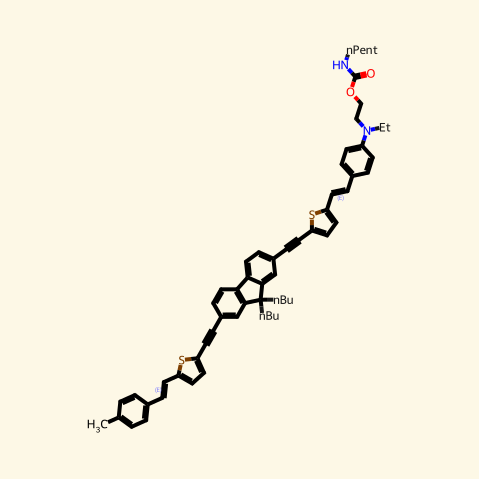 CCCCCNC(=O)OCCN(CC)c1ccc(/C=C/c2ccc(C#Cc3ccc4c(c3)C(CCCC)(CCCC)c3cc(C#Cc5ccc(/C=C/c6ccc(C)cc6)s5)ccc3-4)s2)cc1